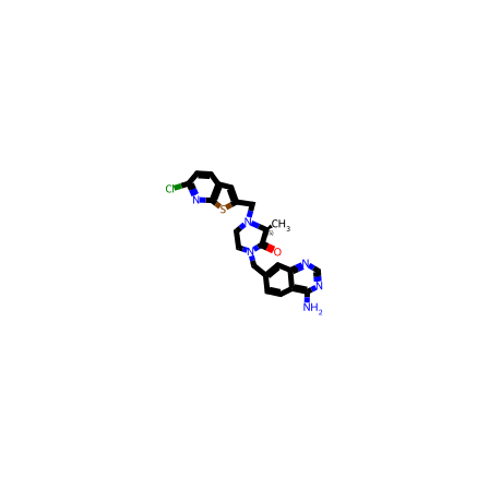 C[C@H]1C(=O)N(Cc2ccc3c(N)ncnc3c2)CCN1Cc1cc2ccc(Cl)nc2s1